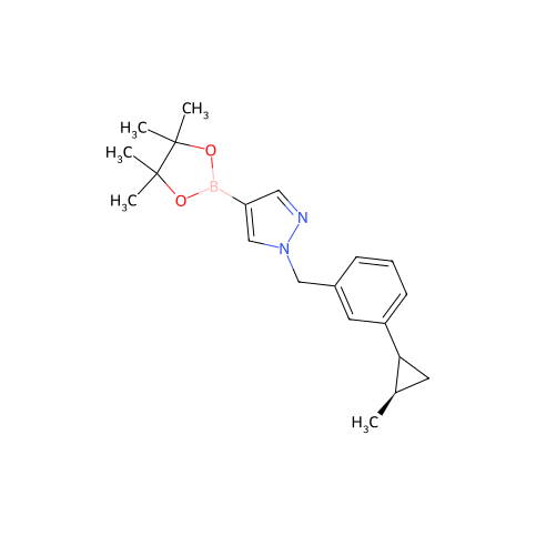 C[C@@H]1CC1c1cccc(Cn2cc(B3OC(C)(C)C(C)(C)O3)cn2)c1